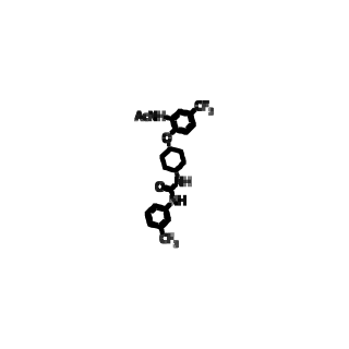 CC(=O)Nc1cc(C(F)(F)F)ccc1O[C@H]1CC[C@H](NC(=O)Nc2cccc(C(F)(F)F)c2)CC1